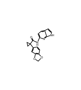 O=C(Nc1ccc2cc[nH]c2n1)C1(c2ccc3c(c2)OCO3)CC1